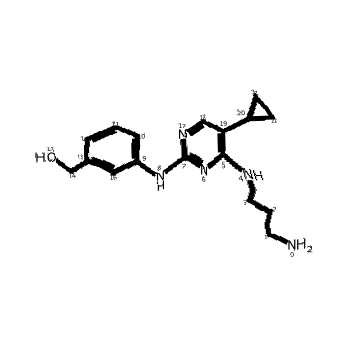 NCCCNc1nc(Nc2cccc(CO)c2)ncc1C1CC1